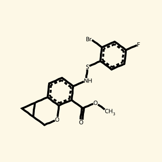 COC(=O)c1c(NSc2ccc(F)cc2Br)ccc2c1OCC1CC21